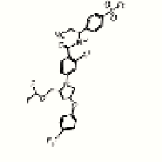 CCS(=O)(=O)c1ccc([C@H](CC#N)NC(=O)c2ccc(N3C[C@@H](Oc4ccc(C(F)(F)F)cc4)C[C@H]3COC(F)F)cc2Cl)cc1